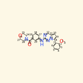 COc1ccccc1-c1ccc2cnc(Nc3cccc(C(=O)N4CCOCC4)c3)nn12